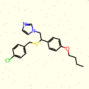 CCCCOc1ccc(C(Cn2ccnc2)SCc2ccc(Cl)cc2)cc1